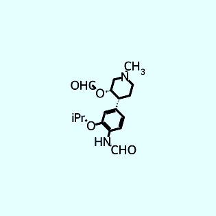 CC(C)Oc1cc([C@H]2CCN(C)C[C@H]2OC=O)ccc1NC=O